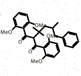 COc1cccc(OC)c1C(=O)C(C(=O)c1c(OC)cccc1OC)C(C)(C)CC(C)Cc1cc[c]cc1